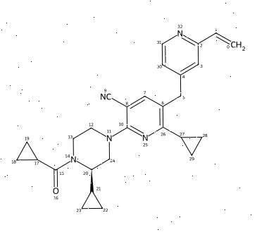 C=Cc1cc(Cc2cc(C#N)c(N3CCN(C(=O)C4CC4)[C@H](C4CC4)C3)nc2C2CC2)ccn1